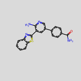 NC(=O)c1ccc(-c2cnc(N)c(-c3nc4ccccc4s3)c2)cc1